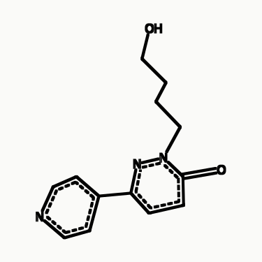 O=c1ccc(-c2ccncc2)nn1CCCCO